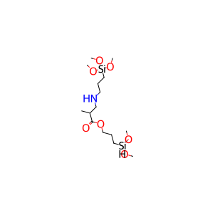 CO[SiH](CCCOC(=O)C(C)CNCCC[Si](OC)(OC)OC)OC